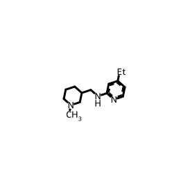 CCc1ccnc(NCC2CCCN(C)C2)c1